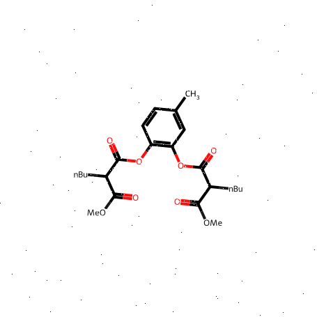 CCCCC(C(=O)OC)C(=O)Oc1ccc(C)cc1OC(=O)C(CCCC)C(=O)OC